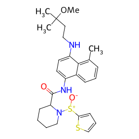 COC(C)(C)CCNc1ccc(NC(=O)C2CCCCN2[S+]([O-])c2cccs2)c2cccc(C)c12